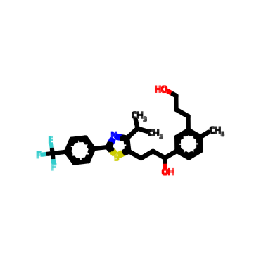 Cc1ccc(C(O)CCc2sc(-c3ccc(C(F)(F)F)cc3)nc2C(C)C)cc1CCCO